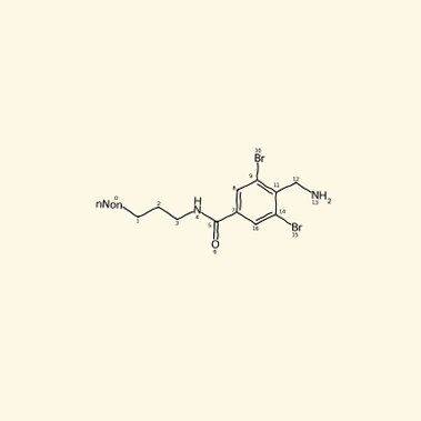 CCCCCCCCCCCCNC(=O)c1cc(Br)c(CN)c(Br)c1